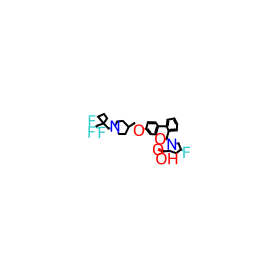 O=C(O)C1CC(F)CN1C(=O)c1ccccc1-c1ccc(OCC2CCN(CC3(C(F)(F)F)CCC3)CC2)cc1